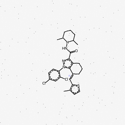 Cc1ccsc1/C=C1\CCCc2c(C(=O)NN3C(C)CCCC3C)nn(-c3ccc(Cl)cc3Cl)c21